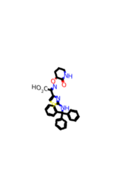 O=C(O)/C(=N\OC1CCCNC1=O)c1csc(NC(c2ccccc2)(c2ccccc2)c2ccccc2)n1